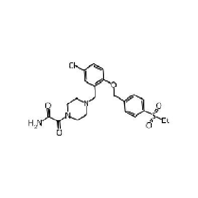 CCS(=O)(=O)c1ccc(COc2ccc(Cl)cc2CN2CCN(C(=O)C(N)=O)CC2)cc1